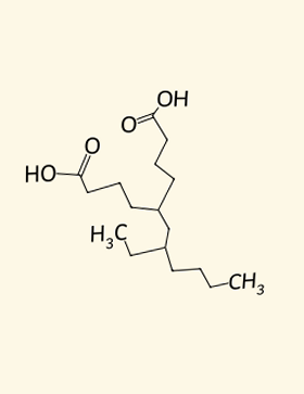 CCCCC(CC)CC(CCCC(=O)O)CCCC(=O)O